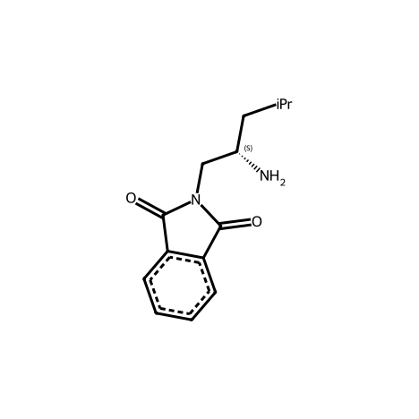 CC(C)C[C@H](N)CN1C(=O)c2ccccc2C1=O